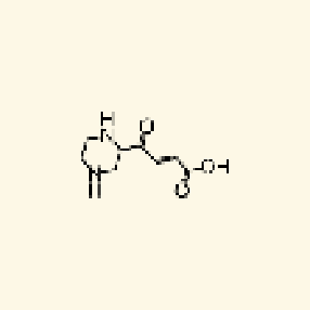 O=C(O)C=CC(=O)C1CNCCN1